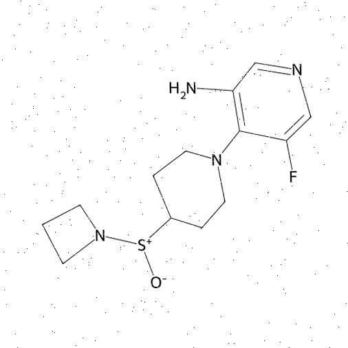 Nc1cncc(F)c1N1CCC([S+]([O-])N2CCC2)CC1